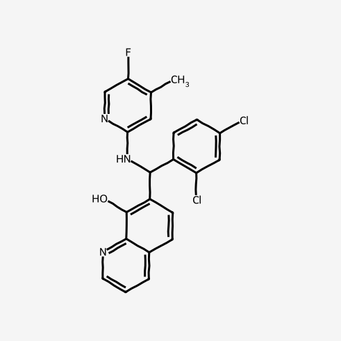 Cc1cc(NC(c2ccc(Cl)cc2Cl)c2ccc3cccnc3c2O)ncc1F